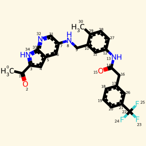 CC(=O)c1cc2cc(NCc3cc(NC(=O)Cc4cccc(C(F)(F)F)c4)ccc3C)cnc2[nH]1